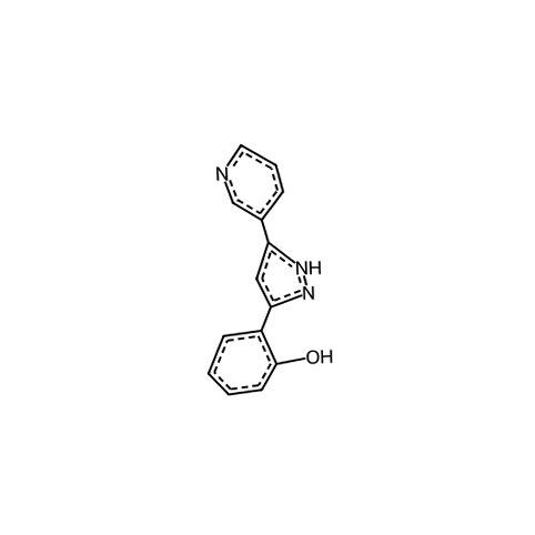 Oc1ccccc1-c1cc(-c2cccnc2)[nH]n1